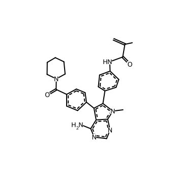 C=C(C)C(=O)Nc1ccc(-c2c(-c3ccc(C(=O)N4CCCCC4)cc3)c3c(N)ncnc3n2C)cc1